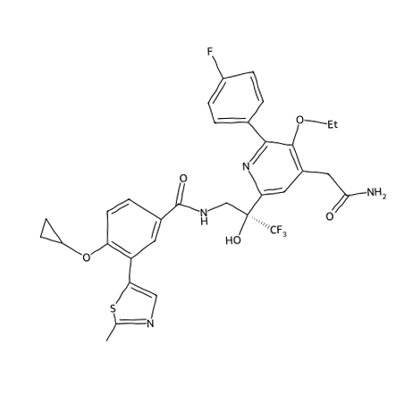 CCOc1c(CC(N)=O)cc([C@@](O)(CNC(=O)c2ccc(OC3CC3)c(-c3cnc(C)s3)c2)C(F)(F)F)nc1-c1ccc(F)cc1